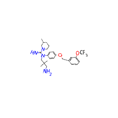 CC1CCCN(C(=N)N(CC(C)(C)CN)c2ccc(OCc3cccc(OC(F)(F)F)c3)cc2)C1